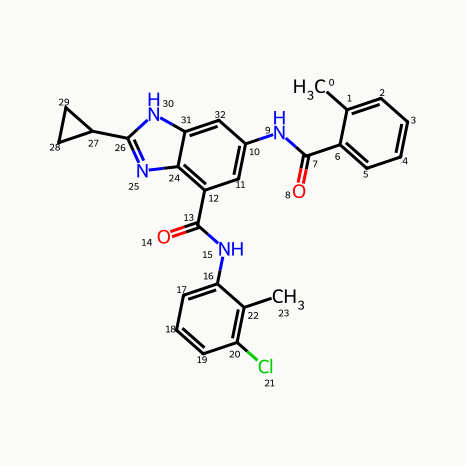 Cc1ccccc1C(=O)Nc1cc(C(=O)Nc2cccc(Cl)c2C)c2nc(C3CC3)[nH]c2c1